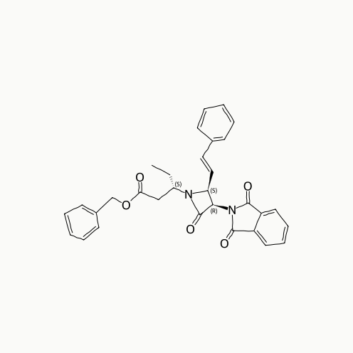 CC[C@@H](CC(=O)OCc1ccccc1)N1C(=O)[C@H](N2C(=O)c3ccccc3C2=O)[C@@H]1C=Cc1ccccc1